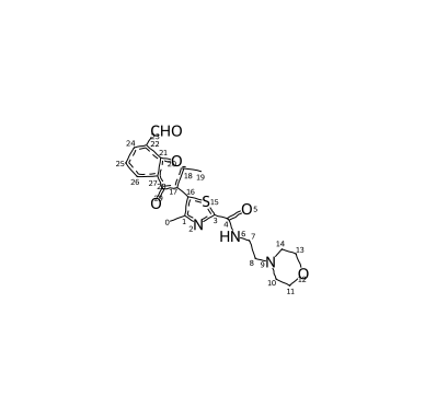 Cc1nc(C(=O)NCCN2CCOCC2)sc1-c1c(C)oc2c(C=O)cccc2c1=O